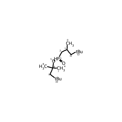 CC(C[PH](=O)OC(C)(C)CC(C)(C)C)CC(C)(C)C